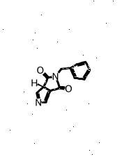 O=C1C2=CN=C[C@@H]2C(=O)N1Cc1ccccc1